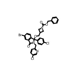 O=C(OCc1ccccc1)N1CC(COC2(c3ccc(Cl)cc3)c3ccc(Br)cc3C(=O)N2Cc2ccc(Cl)cn2)C1